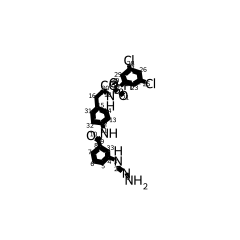 NN=CNc1cccc(C(=O)Nc2ccc(CC(NS(=O)(=O)c3cc(Cl)cc(Cl)c3)C(=O)O)cc2)c1